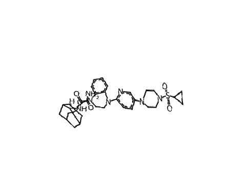 NC(=O)O[C@]12CC3CC(C1)[C@H](NC(=O)N1CCN(c4ccc(N5CCN(S(=O)(=O)C6CC6)CC5)cn4)c4ccccc41)C(C3)C2